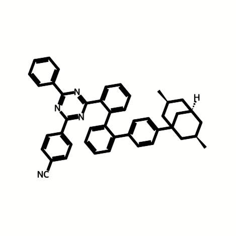 C[C@@H]1C[C@@H]2C[C@H](C)CC(c3ccc(-c4ccccc4-c4ccccc4-c4nc(-c5ccccc5)nc(-c5ccc(C#N)cc5)n4)cc3)(C1)C2